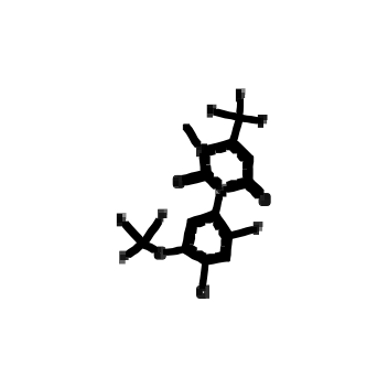 Cn1c(C(F)(F)F)cc(=O)n(-c2cc(OC(F)(F)F)c(Cl)cc2F)c1=O